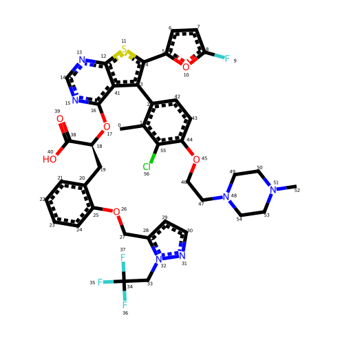 Cc1c(-c2c(-c3ccc(F)o3)sc3ncnc(O[C@@H](Cc4ccccc4OCc4ccnn4CC(F)(F)F)C(=O)O)c23)ccc(OCCN2CCN(C)CC2)c1Cl